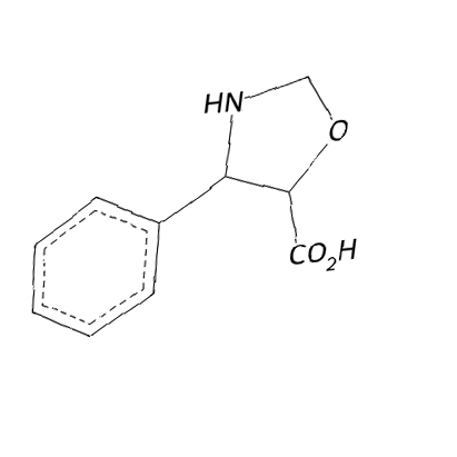 O=C(O)C1OCNC1c1ccccc1